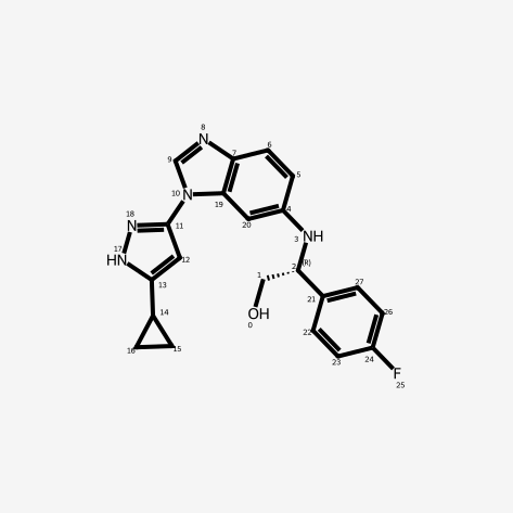 OC[C@H](Nc1ccc2ncn(-c3cc(C4CC4)[nH]n3)c2c1)c1ccc(F)cc1